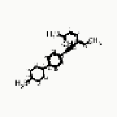 BC(=C)/C=C\C(C#Cc1ccc(C2CCC(B)CC2)cc1)=C/C